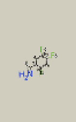 CC(N)c1cc(F)c(F)cc1F